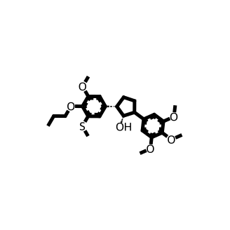 CCCOc1c(OC)cc([C@@H]2CCC(c3cc(OC)c(OC)c(OC)c3)[C@@H]2O)cc1SC